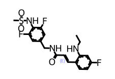 CCNc1cc(F)ccc1/C=C/C(=O)NCc1cc(F)c(NS(C)(=O)=O)c(F)c1